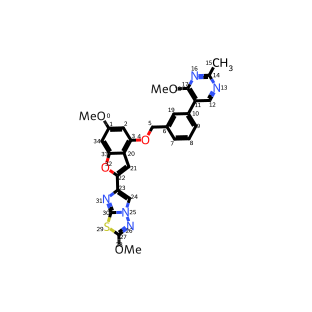 COc1cc(OCc2cccc(-c3cnc(C)nc3OC)c2)c2cc(-c3cn4nc(OC)sc4n3)oc2c1